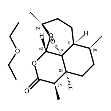 CCOCC.C[C@@H]1CC[C@H]2[C@@H](C)C(=O)O[C@@H]3O[C@]4(C)CC[C@@H]1[C@]32OO4